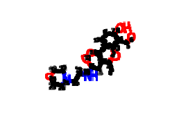 Cc1oc2c(C=O)c(O)ccc2c(=O)c1CC(=O)NCCN1CCOCC1